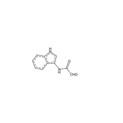 O=CC(=O)Nc1c[nH]c2ccccc12